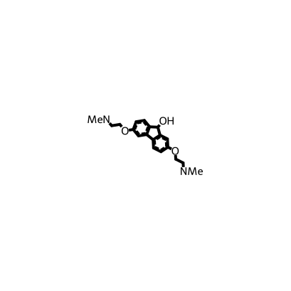 CNCCOc1ccc2c(c1)-c1ccc(OCCNC)cc1C2O